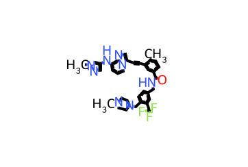 Cc1ccc(C(=O)NCc2ccc(CN3CCN(C)CC3)c(C(F)(F)F)c2)cc1C#Cc1cnc2c(Nc3cnn(C)c3)cccn12